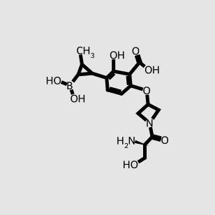 CC1C(B(O)O)C1c1ccc(OC2CN(C(=O)[C@H](N)CO)C2)c(C(=O)O)c1O